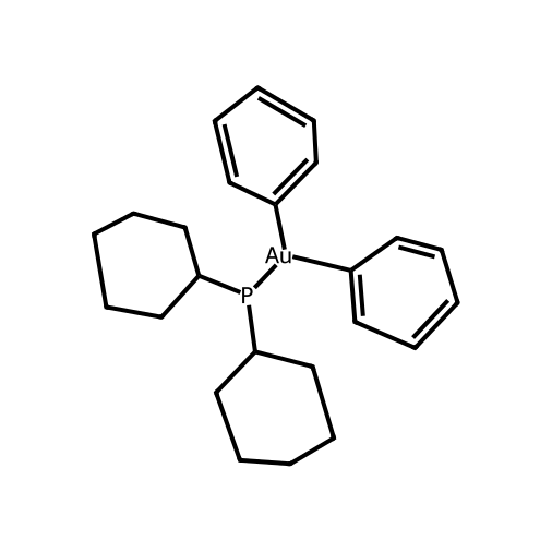 c1cc[c]([Au]([c]2ccccc2)[P](C2CCCCC2)C2CCCCC2)cc1